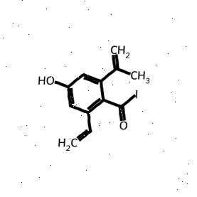 C=Cc1cc(O)cc(C(=C)C)c1C(=O)I